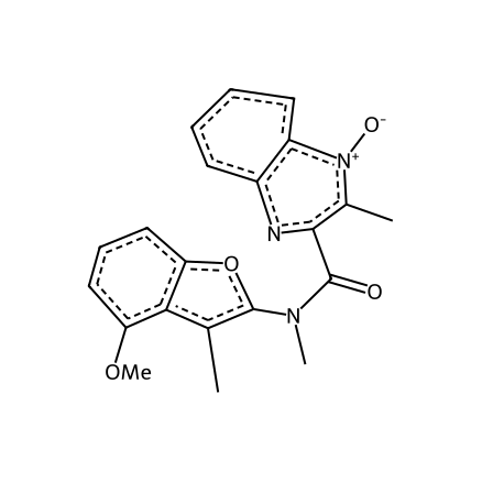 COc1cccc2oc(N(C)C(=O)c3nc4ccccc4[n+]([O-])c3C)c(C)c12